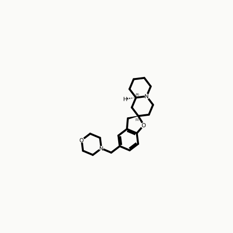 c1cc2c(cc1CN1CCOCC1)C[C@@]1(CCN3CCCC[C@@H]3C1)O2